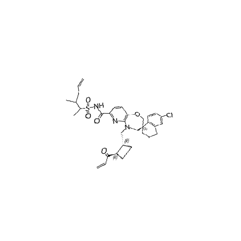 C=CCC(C)C(C)S(=O)(=O)NC(=O)c1ccc2c(n1)N(C[C@@H]1CC[C@H]1C(=O)C=C)C[C@@]1(CCCc3cc(Cl)ccc31)CO2